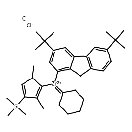 CC1=[C]([Zr+2](=[C]2CCCCC2)[c]2cc(C(C)(C)C)cc3c2Cc2ccc(C(C)(C)C)cc2-3)C(C)C=C1[Si](C)(C)C.[Cl-].[Cl-]